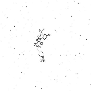 CCn1nc(C(=O)NC[C@H]2CC[C@H](C[SH](=O)=O)CC2)c(Cl)c1-c1ccc(Br)cc1OC(F)F